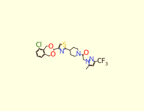 Cc1cc(C(F)(F)F)nn1CC(=O)N1CCC(c2nc(C3OCc4cccc(Cl)c4CO3)cs2)CC1